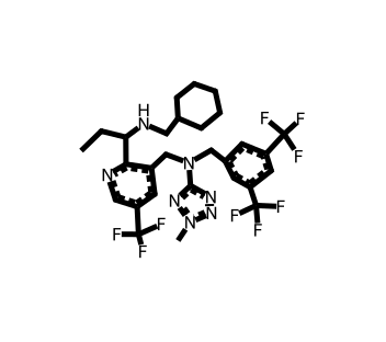 CCC(NCC1CCCCC1)c1ncc(C(F)(F)F)cc1CN(Cc1cc(C(F)(F)F)cc(C(F)(F)F)c1)c1nnn(C)n1